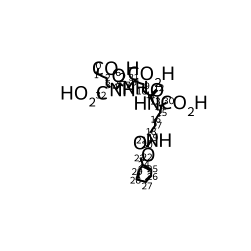 O=C(O)CCC(NC(=O)NC(CCC(=O)NC(CCCCNC(=O)OCc1ccccc1)C(=O)O)C(=O)O)C(=O)O